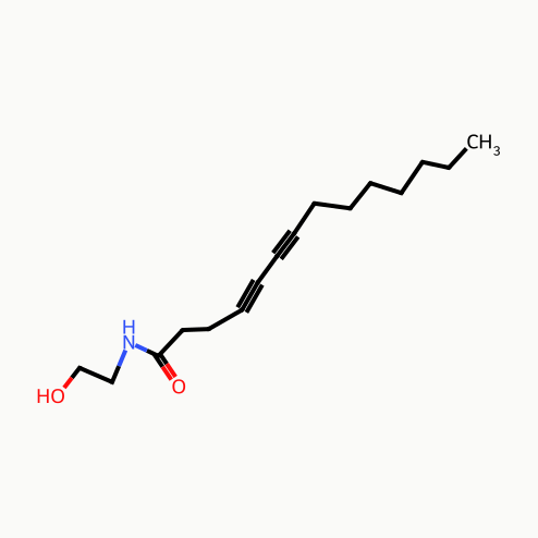 CCCCCCCC#CC#CCCC(=O)NCCO